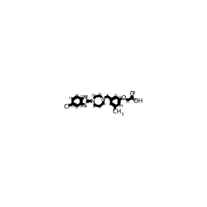 Cc1cc(CN2CCCN(c3nc4ccc(Cl)cc4s3)CC2)cc(OCC(=O)O)c1